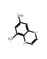 O=Cc1cc2c(c([N+](=O)[O-])c1)OC=CO2